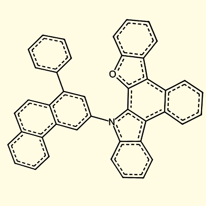 c1ccc(-c2cc(-n3c4ccccc4c4c5ccccc5c5c6ccccc6oc5c43)cc3c2ccc2ccccc23)cc1